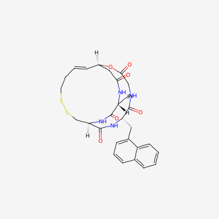 CC(C)[C@H]1NC(=O)C[C@H]2/C=C/CCSSC[C@@H](NC1=O)C(=O)N[C@@H](Cc1cccc3ccccc13)C(=O)NCC(=O)O2